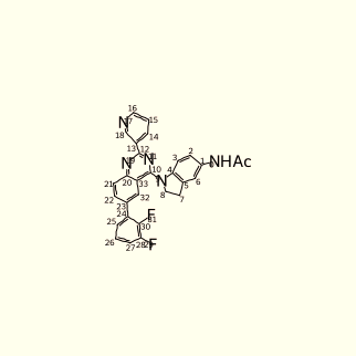 CC(=O)Nc1ccc2c(c1)CCN2c1nc(-c2cccnc2)nc2ccc(-c3cccc(F)c3F)cc12